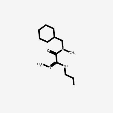 C/N=C(/NCCI)C(=O)N(C)CC1CCCCC1